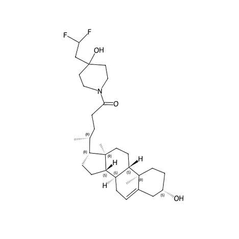 C[C@H](CCC(=O)N1CCC(O)(CC(F)F)CC1)[C@H]1CC[C@H]2[C@@H]3CC=C4C[C@@H](O)CC[C@]4(C)[C@H]3CC[C@]12C